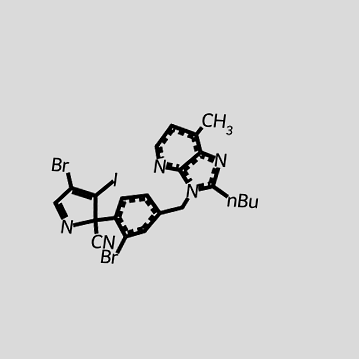 CCCCc1nc2c(C)ccnc2n1Cc1ccc(C2(C#N)N=CC(Br)=C2I)c(Br)c1